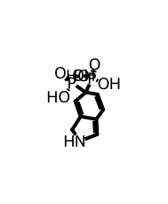 O=P(O)(O)C1(P(=O)(O)O)C=CC2=CNCC2=C1